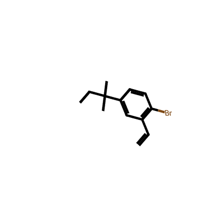 C=Cc1cc(C(C)(C)CC)ccc1Br